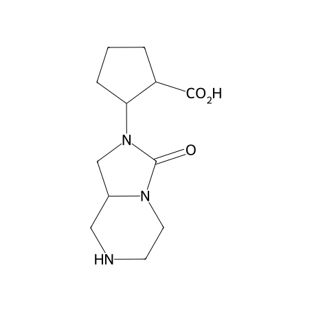 O=C(O)C1CCCC1N1CC2CNCCN2C1=O